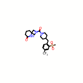 CS(=O)(=O)c1cc(C(F)(F)F)ccc1CC1CCN(C(=O)N2CC3(CCCC(=O)N3)C2)CC1